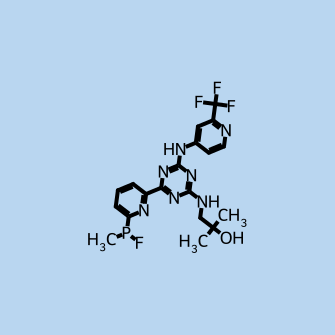 CP(F)c1cccc(-c2nc(NCC(C)(C)O)nc(Nc3ccnc(C(F)(F)F)c3)n2)n1